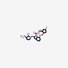 CCCCOC(=O)n1c(Cn2cccc([N+](=O)[O-])c2=O)cc2cccc(OCc3ccc(F)cc3F)c21